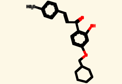 O=C(O)c1ccc(/C=C/C(=O)c2ccc(OCC3CCCCC3)cc2O)cc1